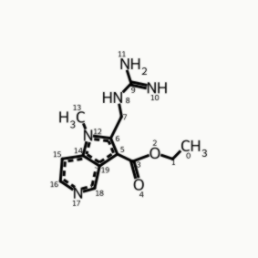 CCOC(=O)c1c(CNC(=N)N)n(C)c2ccncc12